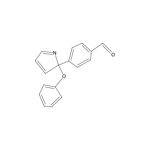 O=Cc1ccc(C2(Oc3ccccc3)C=CC=N2)cc1